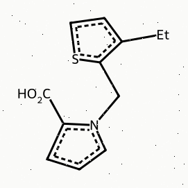 CCc1ccsc1Cn1cccc1C(=O)O